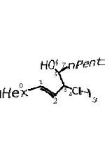 CCCCCCC=CC(C)C(O)CCCCC